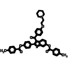 Cc1ccc(C(=O)Oc2ccc(-c3sc4cc(OC(=O)c5ccc(C)cc5)ccc4c3C(=O)c3ccc(OCCN4CCCCC4)cc3)cc2)cc1